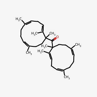 C/C1=C/C/C=C(\C)C(C)(C(=O)C2(C)CC/C(C)=C\CC/C(C)=C\C/C=C/2C)CC/C(C)=C\CC1